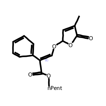 CCCCCOC(=O)/C(=C/OC1C=C(C)C(=O)O1)c1ccccc1